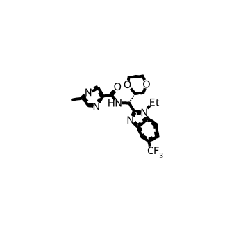 CCn1c(C(NC(=O)c2cnc(C)cn2)[C@H]2COCCO2)nc2cc(C(F)(F)F)ccc21